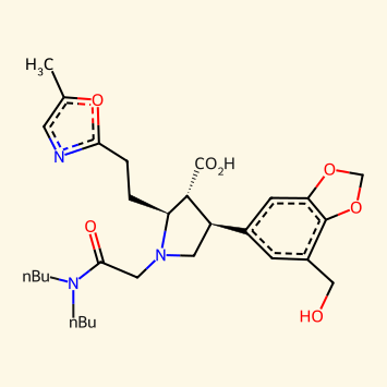 CCCCN(CCCC)C(=O)CN1C[C@H](c2cc(CO)c3c(c2)OCO3)[C@@H](C(=O)O)[C@@H]1CCc1ncc(C)o1